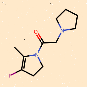 CC1=C(I)CCN1C(=O)CN1CCCC1